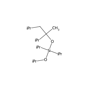 CC(C)CC(C)(O[Si](OC(C)C)(C(C)C)C(C)C)C(C)C